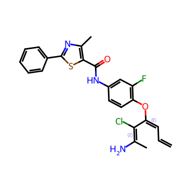 C=C/C=C(Oc1ccc(NC(=O)c2sc(-c3ccccc3)nc2C)cc1F)\C(Cl)=C(/C)N